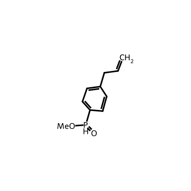 C=CCc1ccc([PH](=O)OC)cc1